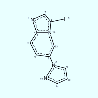 Ic1cnc2ccc(-n3cccn3)cn12